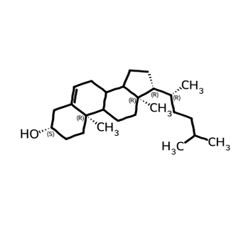 CC(C)CC[C@@H](C)[C@H]1CCC2C3CC=C4C[C@@H](O)CC[C@]4(C)C3CC[C@@]21C